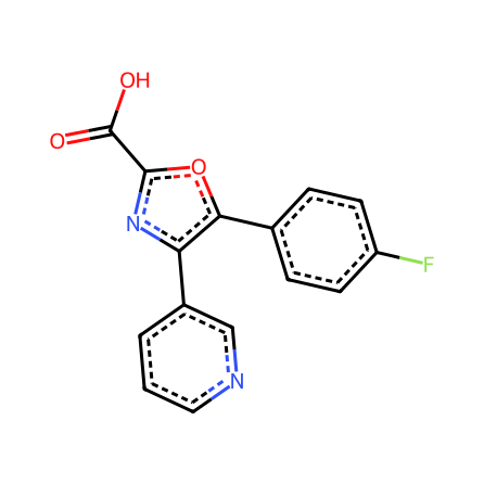 O=C(O)c1nc(-c2cccnc2)c(-c2ccc(F)cc2)o1